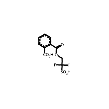 O=C(O)c1ccccc1C(=O)OCC(F)(F)S(=O)(=O)O